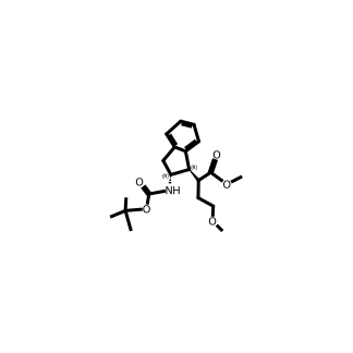 COCCC(C(=O)OC)[C@@H]1c2ccccc2C[C@H]1NC(=O)OC(C)(C)C